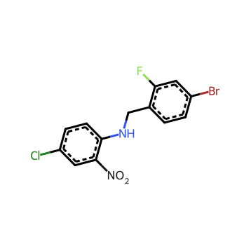 O=[N+]([O-])c1cc(Cl)ccc1NCc1ccc(Br)cc1F